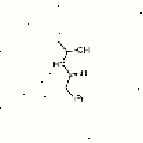 CCC[CH]C(=O)NC(C)O